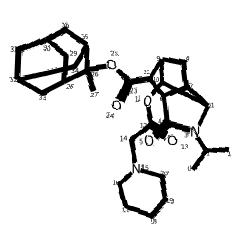 CC(C)N1C(=O)C2C3CC(C(OC(=O)CN4CCCCC4)C31)C2C(=O)OC1(C)C2CC3CC(C2)CC1C3